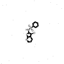 O=S(=O)(Nc1sc2ncccc2c1Cl)c1ccccc1